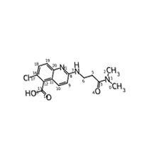 CN(C)C(=O)CCNc1ccc2c(C(=O)O)c(Cl)ccc2n1